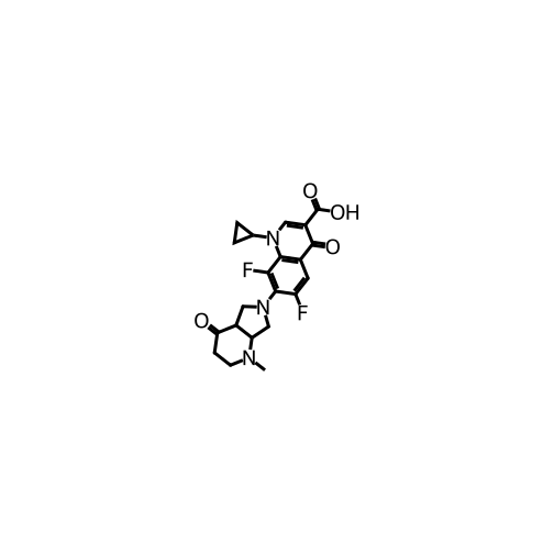 CN1CCC(=O)C2CN(c3c(F)cc4c(=O)c(C(=O)O)cn(C5CC5)c4c3F)CC21